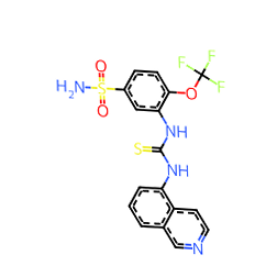 NS(=O)(=O)c1ccc(OC(F)(F)F)c(NC(=S)Nc2cccc3cnccc23)c1